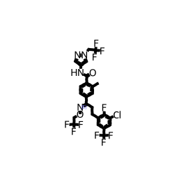 Cc1cc(/C(CCc2cc(C(F)(F)F)cc(Cl)c2F)=N/OCC(F)(F)F)ccc1C(=O)Nc1cnn(CC(F)(F)F)c1